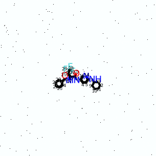 O=C(Nc1ccc(NC2CCCCC2)nc1)c1nc(-c2ccccc2)oc1C(F)(F)F